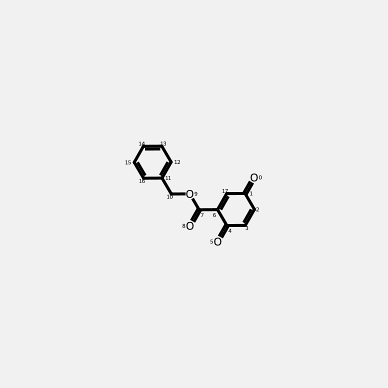 O=C1C=CC(=O)C(C(=O)OCc2ccccc2)=C1